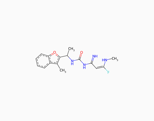 CN/C(F)=C\C(=N)NC(=O)NC(C)c1oc2ccccc2c1C